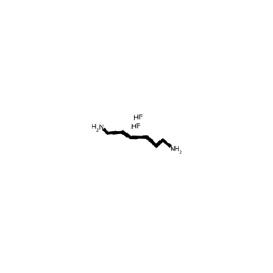 F.F.NCCCCCCN